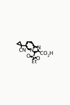 CCS(=O)(=O)c1c(C(=O)O)nc2ccc(C3(C#N)CC3)cn12